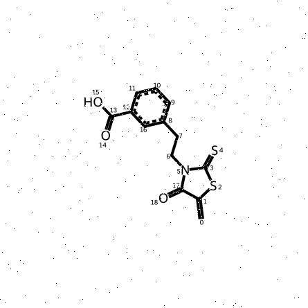 C=C1SC(=S)N(CCc2cccc(C(=O)O)c2)C1=O